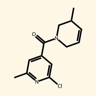 Cc1cc(C(=O)N2CC=CC(C)C2)cc(Cl)n1